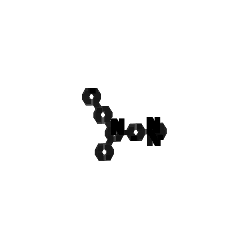 c1ccc(-c2ccc(-c3cc(-c4ccccc4)cc(-c4ccc(-c5ncccn5)cc4)n3)cc2)cc1